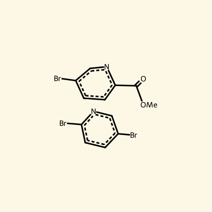 Brc1ccc(Br)nc1.COC(=O)c1ccc(Br)cn1